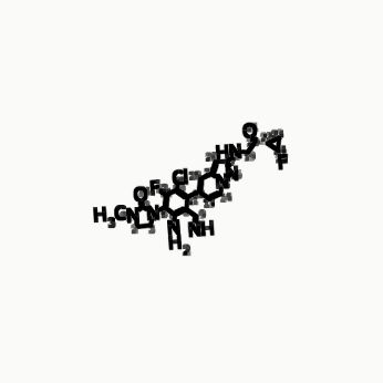 CN1CCN(c2c(N)c(C=N)c(-c3ccn4nc(NCC(=O)[C@@H]5C[C@@H]5F)cc4c3)c(Cl)c2F)C1=O